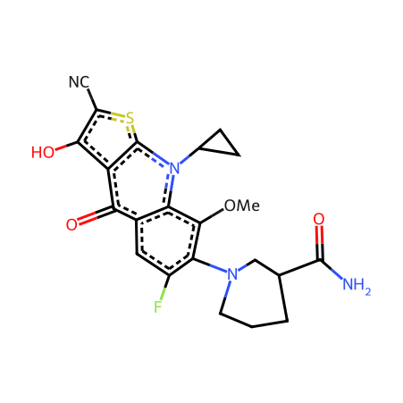 COc1c(N2CCCC(C(N)=O)C2)c(F)cc2c(=O)c3c(O)c(C#N)sc3n(C3CC3)c12